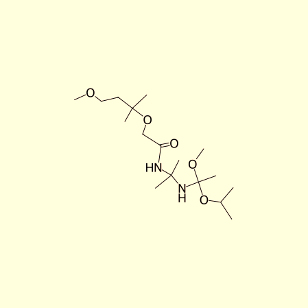 COCCC(C)(C)OCC(=O)NC(C)(C)NC(C)(OC)OC(C)C